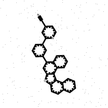 N#Cc1ccnc(-c2cccc(-c3cc4oc5ccc6ccccc6c5c4c4ccccc34)c2)c1